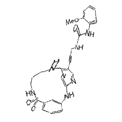 COc1ccccc1NC(=O)NCC#Cc1cnc2nc1NCCCNS(=O)(=O)c1cccc(c1)N2